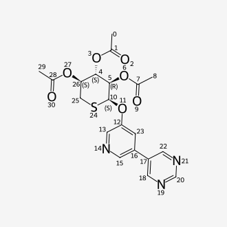 CC(=O)O[C@@H]1[C@@H](OC(C)=O)[C@@H](Oc2cncc(-c3cncnc3)c2)SC[C@H]1OC(C)=O